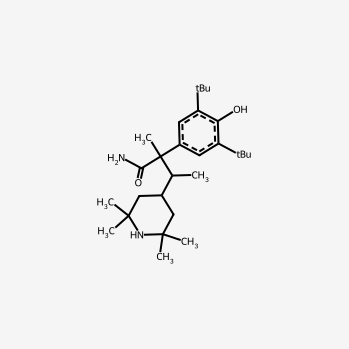 CC(C1CC(C)(C)NC(C)(C)C1)C(C)(C(N)=O)c1cc(C(C)(C)C)c(O)c(C(C)(C)C)c1